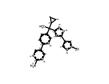 CCn1cc(-c2nc(C(C)(c3ccc(-c4cnc(N)nc4)nc3)C3CC3)no2)cn1